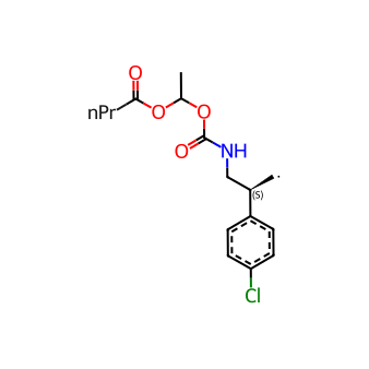 [CH2][C@H](CNC(=O)OC(C)OC(=O)CCC)c1ccc(Cl)cc1